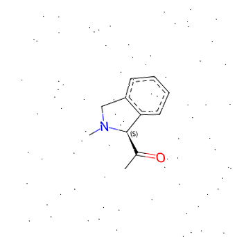 CC(=O)[C@@H]1c2ccccc2CN1C